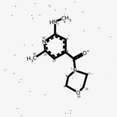 CNc1cc(C(=O)N2CCOCC2)cc(C)n1